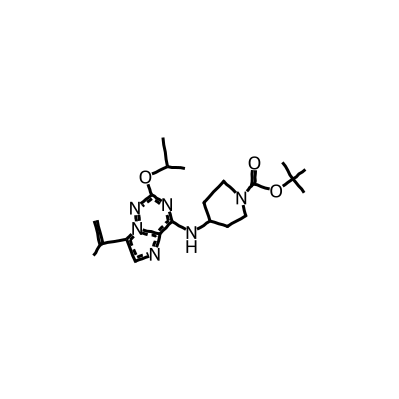 C=C(C)c1cnc2c(NC3CCN(C(=O)OC(C)(C)C)CC3)nc(OC(C)C)nn12